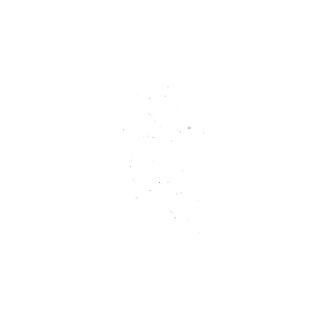 CN(c1cc(=O)n(C)c2ccc(C#N)nc12)C1CCC(N(c2ccc(F)cc2)C2CC2)CC1